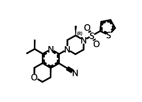 CC(C)c1nc(N2CCN(S(=O)(=O)c3cccs3)[C@H](C)C2)c(C#N)c2c1COCC2